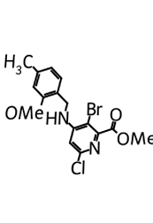 COC(=O)c1nc(Cl)cc(NCc2ccc(C)cc2OC)c1Br